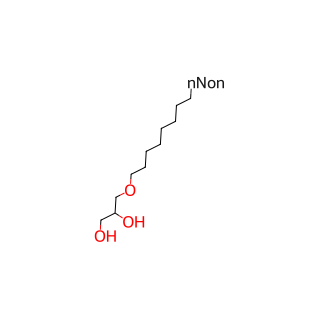 CCCCCCCCCCCCCCCCCOCC(O)CO